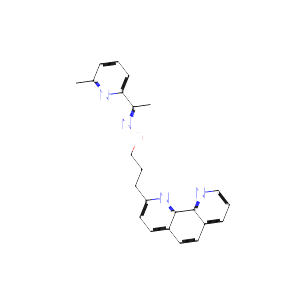 C/C(=N\OCCCc1ccc2ccc3cccnc3c2n1)c1cccc(C)n1